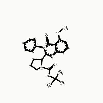 CSc1cccc2nc(C3CCCN3C(=O)OC(C)(C)C)n(-c3ccccc3)c(=O)c12